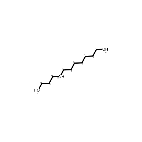 OCCCCCCCNCCCO